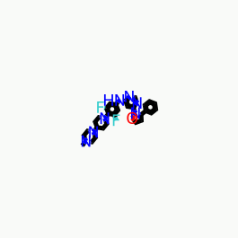 CN1CCN(C2CCN(c3c(F)cc(Nc4cc(N5OCCC5c5ccccc5)ncn4)cc3F)CC2)CC1